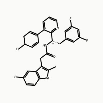 Cc1[nH]c2ccc(F)cc2c1CC(=O)N[C@@H](Cc1cc(F)cc(F)c1)c1ncccc1C1=CCC(Cl)C=C1